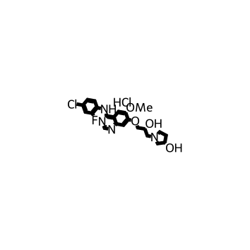 COc1cc2c(Nc3ccc(Cl)cc3F)ncnc2cc1OCC(O)CN1CCC(O)C1.Cl